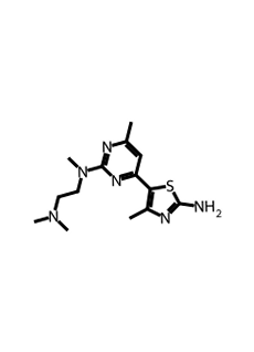 Cc1cc(-c2sc(N)nc2C)nc(N(C)CCN(C)C)n1